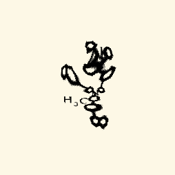 CC1C=C(N(c2ccc(C3C=c4ccccc4=CC3)cc2)c2cccc(-c3cccc(-c4cccc5c4c4ccccc4n5-c4ccccc4)c3)c2)C=CC1c1ccc(-c2cccc3ccccc23)cc1